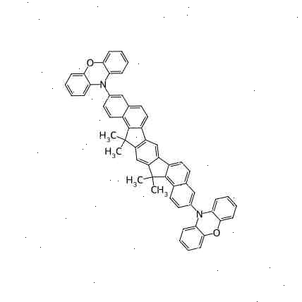 CC1(C)c2cc3c(cc2-c2ccc4cc(N5c6ccccc6Oc6ccccc65)ccc4c21)-c1ccc2cc(N4c5ccccc5Oc5ccccc54)ccc2c1C3(C)C